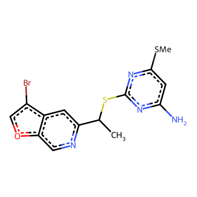 CSc1cc(N)nc(SC(C)c2cc3c(Br)coc3cn2)n1